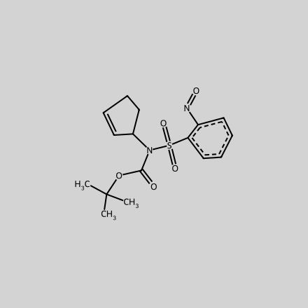 CC(C)(C)OC(=O)N(C1C=CCC1)S(=O)(=O)c1ccccc1N=O